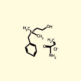 C=CC(N)=O.C[N+](C)(CCO)Cc1ccccc1.[Cl-]